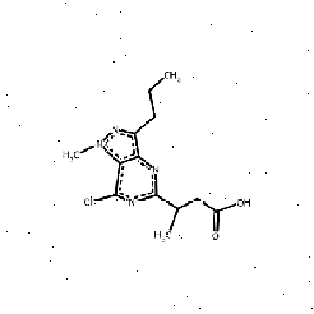 CCCc1nn(C)c2c(Cl)nc(C(C)CC(=O)O)nc12